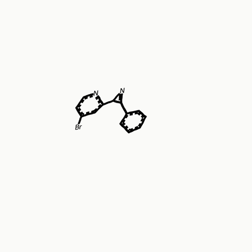 Brc1ccnc(C2N=C2c2ccccc2)c1